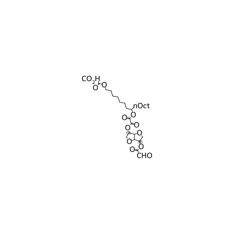 CCCCCCCCC(CCCCCCCOC(=O)C(=O)O)OC(=O)C(=O)O[C@H]1COC2C1OC[C@H]2OC(=O)C=O